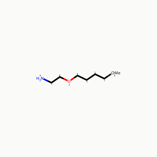 CO[CH]CCCOCCN